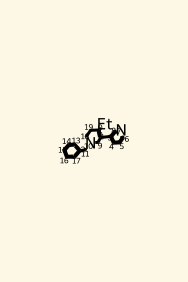 [CH2]CC1=C(c2cccnc2)CN(Cc2ccccc2)CC1